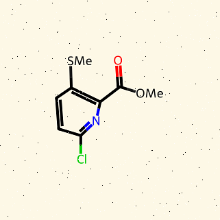 COC(=O)c1nc(Cl)ccc1SC